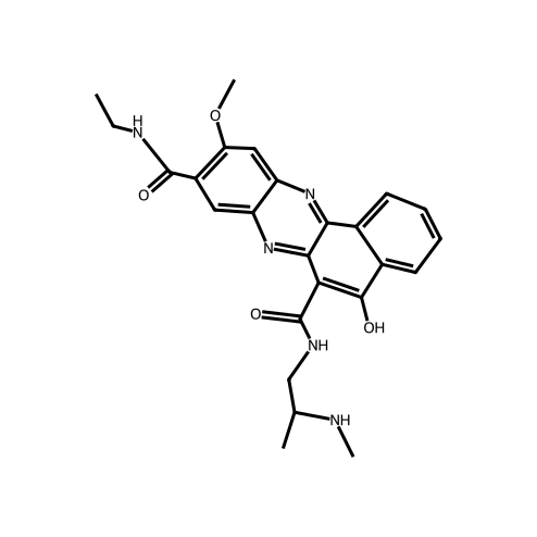 CCNC(=O)c1cc2nc3c(C(=O)NCC(C)NC)c(O)c4ccccc4c3nc2cc1OC